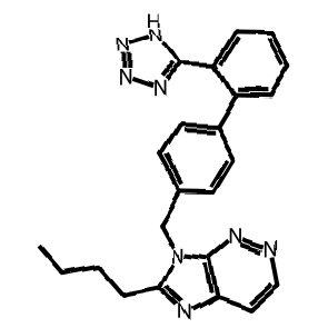 CCCCc1nc2ccnnc2n1Cc1ccc(-c2ccccc2-c2nnn[nH]2)cc1